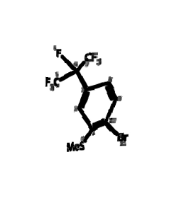 CSc1cc(C(F)(C(F)(F)F)C(F)(F)F)ccc1Br